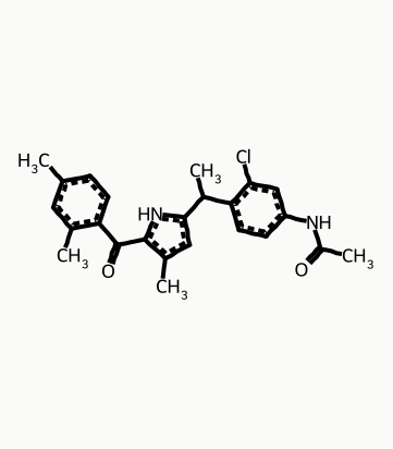 CC(=O)Nc1ccc(C(C)c2cc(C)c(C(=O)c3ccc(C)cc3C)[nH]2)c(Cl)c1